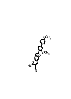 COc1ccc(-c2ccc(-c3cc4ccc(C=C(C#N)C(=O)O)cc4o3)c(OC)c2)cc1